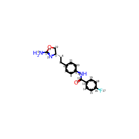 NC1=N[C@@H](CCc2ccc(NC(=O)c3ccc(F)cc3)cc2)CO1